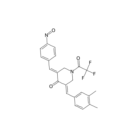 Cc1ccc(/C=C2\CN(C(=O)C(F)(F)F)C/C(=C\c3ccc(N=O)cc3)C2=O)cc1C